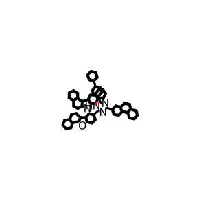 c1ccc(-c2ccc(C3=NC(c4ccc5c(ccc6ccccc65)c4)=NC(c4ccc5oc6c7ccccc7ccc6c5c4-n4c5cc6ccccc6cc5c5c6ccccc6ccc54)N3)cc2)cc1